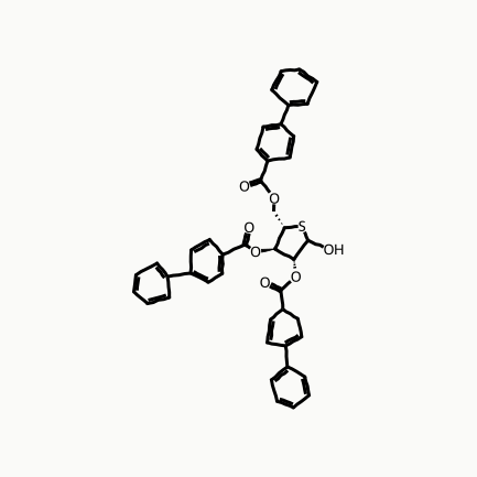 O=C(OC[C@@H]1SC(O)[C@H](OC(=O)C2C=CC(c3ccccc3)=CC2)[C@H]1OC(=O)c1ccc(-c2ccccc2)cc1)c1ccc(-c2ccccc2)cc1